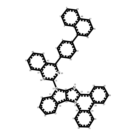 c1ccc2c(-c3ccc(-c4nc(-n5c6ccccc6c6c5nc5c7ccccc7c7ccccc7n56)nc5ccccc45)cc3)cccc2c1